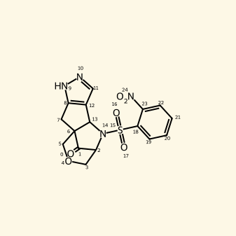 O=C1C2COCC13Cc1[nH]ncc1C3N2S(=O)(=O)c1ccccc1[N+](=O)[O-]